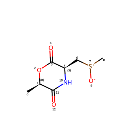 C[C@H]1OC(=O)[C@@H](C[S+](C)[O-])NC1=O